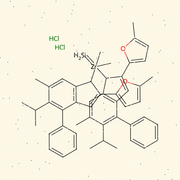 Cc1ccc(C2=Cc3c(cc(C)c(C(C)C)c3-c3ccccc3)[CH]2[Zr]([CH3])([CH3])(=[SiH2])[CH]2C(c3ccc(C)o3)=Cc3c2cc(C)c(C(C)C)c3-c2ccccc2)o1.Cl.Cl